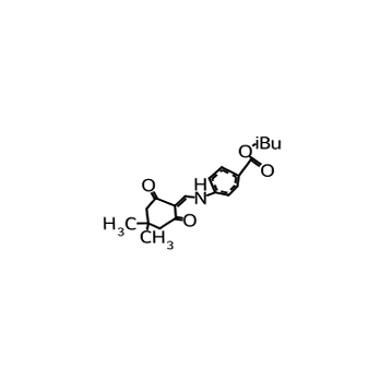 CCC(C)OC(=O)c1ccc(NC=C2C(=O)CC(C)(C)CC2=O)cc1